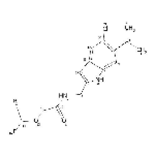 CC(C)c1cc2[nH]c(CNC(=O)COC(F)F)cc2cc1Cl